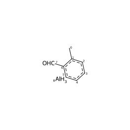 Cc1ccccc1C=O.[AlH3]